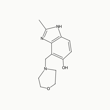 Cc1nc2c(CN3CCOCC3)c(O)ccc2[nH]1